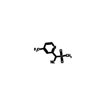 CS(=O)(=O)C(C#N)c1cc(C(F)(F)F)ccn1